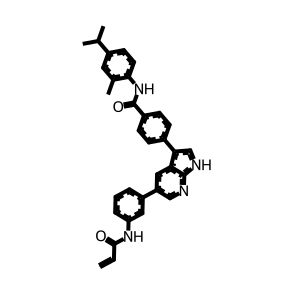 C=CC(=O)Nc1cccc(-c2cnc3[nH]cc(-c4ccc(C(=O)Nc5ccc(C(C)C)cc5C)cc4)c3c2)c1